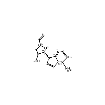 C=C[C@@H]1CC(O)[C@H](n2ccc3c(N)ncnc32)O1